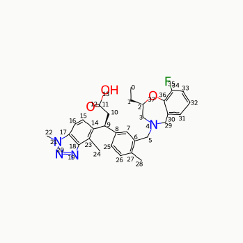 CC[C@@H]1CN(Cc2cc([C@H](CC(=O)O)c3ccc4c(nnn4C)c3C)ccc2C)Cc2cccc(F)c2O1